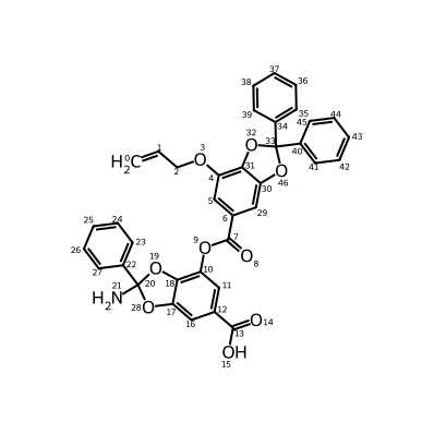 C=CCOc1cc(C(=O)Oc2cc(C(=O)O)cc3c2OC(N)(c2ccccc2)O3)cc2c1OC(c1ccccc1)(c1ccccc1)O2